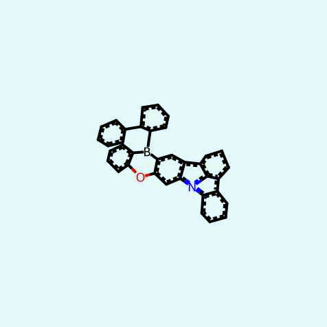 c1ccc(-c2ccccc2B2c3ccccc3Oc3cc4c(cc32)c2cccc3c5ccccc5n4c32)cc1